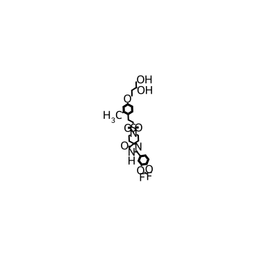 Cc1cc(OCCC(O)CO)ccc1CCS(=O)(=O)N1CCC2(CC1)N=C(c1ccc3c(c1)OC(F)(F)O3)NC2=O